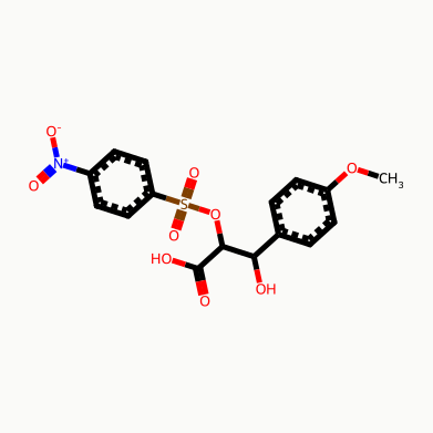 COc1ccc(C(O)C(OS(=O)(=O)c2ccc([N+](=O)[O-])cc2)C(=O)O)cc1